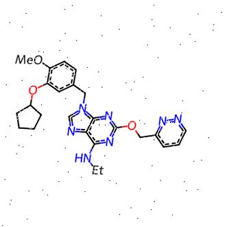 CCNc1nc(OCc2cccnn2)nc2c1ncn2Cc1ccc(OC)c(OC2CCCC2)c1